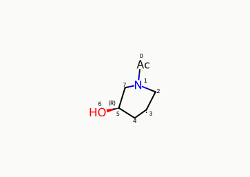 CC(=O)N1C[CH]C[C@@H](O)C1